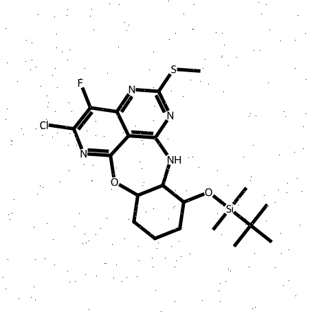 CSc1nc2c3c(nc(Cl)c(F)c3n1)OC1CCCC(O[Si](C)(C)C(C)(C)C)C1N2